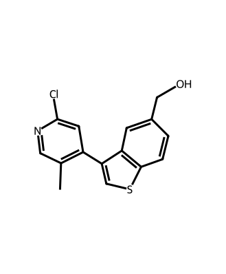 Cc1cnc(Cl)cc1-c1csc2ccc(CO)cc12